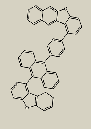 C1=Cc2oc3cccc(-c4c5ccccc5c(-c5ccc(-c6cccc7oc8cc9ccccc9cc8c67)cc5)c5ccccc45)c3c2CC1